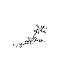 CCC(=O)OCc1ccc(NC(=O)[C@H](CCCCN)NC(=O)COCC(=O)NC(C)(C)COC(C)C)cc1